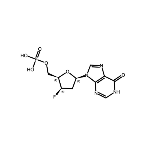 O=c1[nH]cnc2c1ncn2[C@H]1C[C@@H](F)[C@@H](COP(=O)(O)O)O1